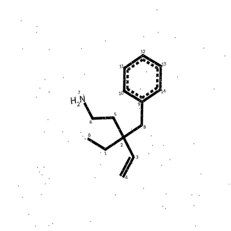 [CH2]CC(C=C)(CCN)Cc1ccccc1